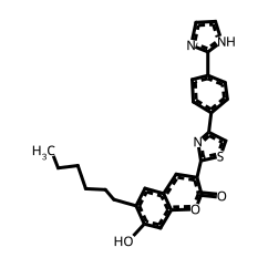 CCCCCCc1cc2cc(-c3nc(-c4ccc(-c5ncc[nH]5)cc4)cs3)c(=O)oc2cc1O